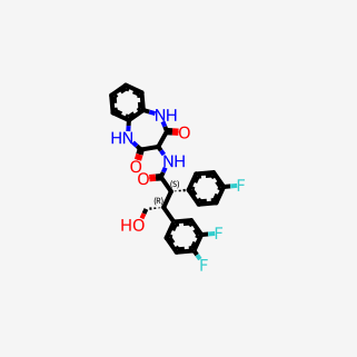 O=C1Nc2ccccc2NC(=O)C1NC(=O)[C@H](c1ccc(F)cc1)[C@@H](CO)c1ccc(F)c(F)c1